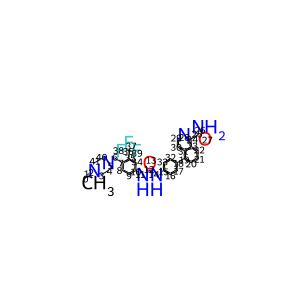 CCN1CCN(Cc2ccc(NC(=O)Nc3ccc(-c4cccc5c(C(N)=O)nccc45)cc3)cc2C(F)(F)F)CC1